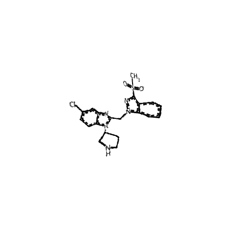 CS(=O)(=O)c1nn(Cc2nc3cc(Cl)ccc3n2[C@@H]2CCNC2)c2ccccc12